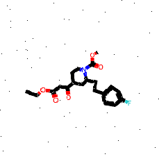 CCOC(=O)CC(=O)C1CCN(C(=O)OC)C(CCc2ccc(F)cc2)C1